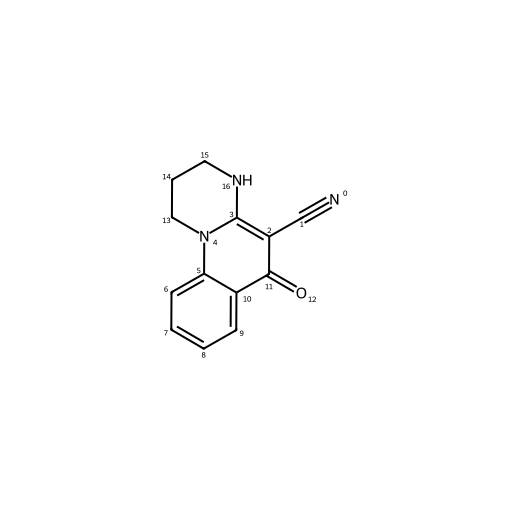 N#Cc1c2n(c3ccccc3c1=O)CCCN2